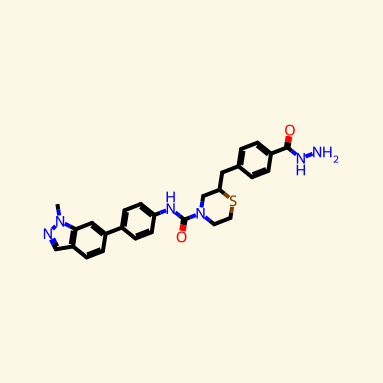 Cn1ncc2ccc(-c3ccc(NC(=O)N4CCSC(Cc5ccc(C(=O)NN)cc5)C4)cc3)cc21